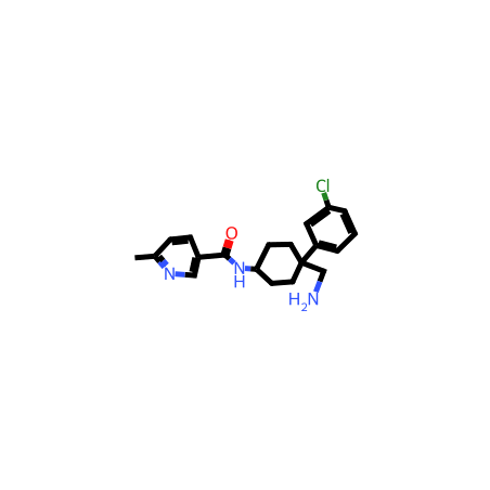 Cc1ccc(C(=O)NC2CCC(CN)(c3cccc(Cl)c3)CC2)cn1